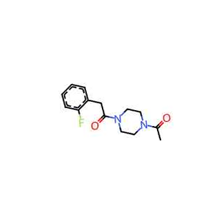 CC(=O)N1CCN(C(=O)Cc2ccccc2F)CC1